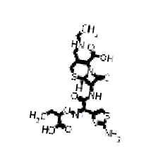 CCNCC1=C(C(=O)O)N2C(=O)C(NC(=O)/C(=N\OC(CC)C(=O)O)c3csc(N)n3)[C@H]2SC1